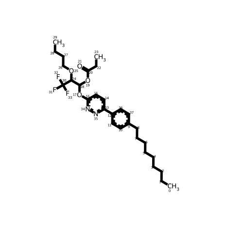 CCCCCCCCCc1ccc(-c2ccc(OC(OC(=O)CC)C(OCCCC)C(F)(F)F)nn2)cc1